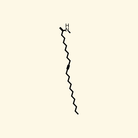 C=C(CCCCCCCCC#CCCCCCCCCCCCC)NC